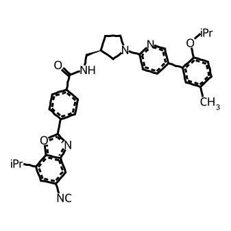 [C-]#[N+]c1cc(C(C)C)c2oc(-c3ccc(C(=O)NC[C@H]4CCN(c5ccc(-c6cc(C)ccc6OC(C)C)cn5)C4)cc3)nc2c1